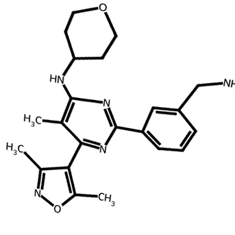 Cc1noc(C)c1-c1nc(-c2cccc(CN)c2)nc(NC2CCOCC2)c1C